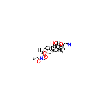 CC1(C)C2CC[C@@H]3C4(CC[C@]5(C)[C@H]6CC[C@H](CC#N)O[C@@H]6[C@H](O)[C@@]35C)C[C@]24CC[C@@H]1O[C@H]1CN(C(=O)CC2CC2)CCO1